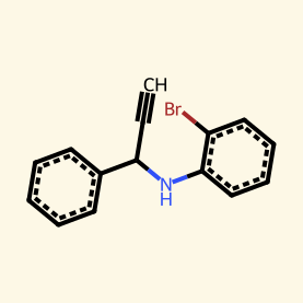 C#CC(Nc1ccccc1Br)c1ccccc1